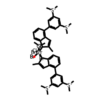 CC1=Cc2c(-c3cc([S+](C)C)cc([S+](C)C)c3)cccc2[CH]1[Zr]([Cl])([Cl])([Br])([Br])([Br])([Br])([CH]1C(C)=Cc2c(-c3cc([S+](C)C)cc([S+](C)C)c3)cccc21)[SiH](C)C